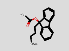 COCCCC1(OC(=O)C(C)(C)C)c2ccccc2-c2ccccc21